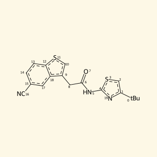 CC(C)(C)c1csc(NC(=O)Cc2csc3ccc(C#N)cc23)n1